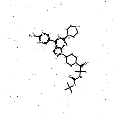 CC(C)(C)OC(=O)NC(C)(C)C(=O)N1CCC(n2ncc3c(-c4cnc(N)nc4)nc(N4CCOCC4)nc32)CC1